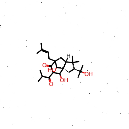 CC(C)=CCC12C[C@@H]3C(C)(C)[C@@H](C(C)(C)O)C[C@]3(C(O)C(C(=O)C(C)C)C1=O)C2O